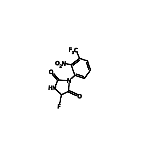 O=C1NC(F)C(=O)N1c1cccc(C(F)(F)F)c1[N+](=O)[O-]